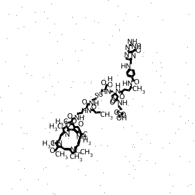 CCCC(=O)N[C@@H](CCCNC(=O)CC[C@@H]1c2nc(cc3[nH]c(cc4nc(cc5[nH]c6c(c5C)C(=O)C(C(=O)OC)c26)[C@H](CC)[C@H]4C)c(C(C)=O)c3C)[C@H]1C)C(=O)NCCSSC[C@H](NC[C@@](C=O)(CC(=O)NCCS(=O)(=O)O)NC(=O)CC[C@@H](C)NC(=O)c1ccc(NCc2cnc3nc(N)[nH]c(=O)c3n2)cc1)C(=O)O